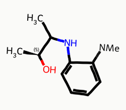 CNc1ccccc1NC(C)[C@H](C)O